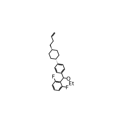 C=CCC[C@H]1CC[C@H](c2ccc(C(OCC)c3c(F)cccc3F)cc2)CC1